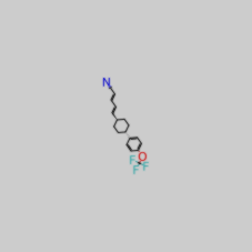 N#CC=CC=C[C@H]1CC[C@H](c2ccc(OC(F)(F)F)cc2)CC1